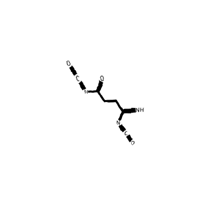 N=C(CCC(=O)N=C=O)N=C=O